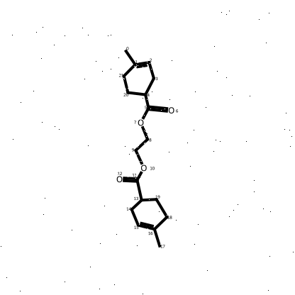 CC1=CCC(C(=O)OCCOC(=O)C2CC=C(C)CC2)CC1